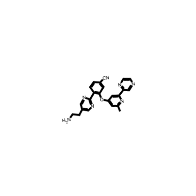 Cc1cc(Oc2cc(C#N)ccc2-c2ncc(CCN)cn2)cc(-c2cnccn2)n1